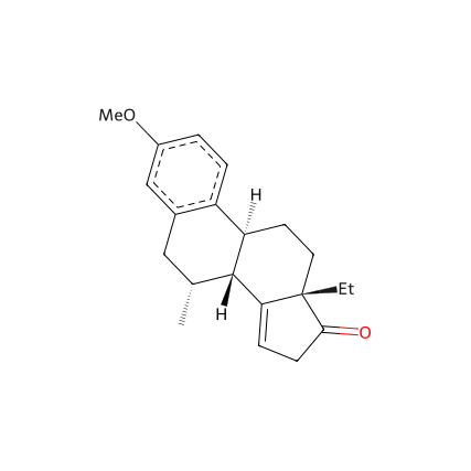 CC[C@]12CC[C@@H]3c4ccc(OC)cc4C[C@@H](C)[C@H]3C1=CCC2=O